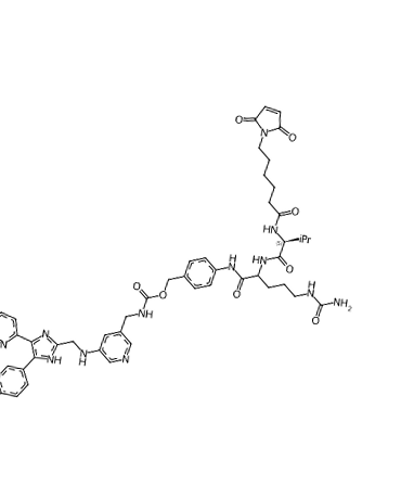 Cc1cccc(-c2nc(CNc3cncc(CNC(=O)OCc4ccc(NC(=O)C(CCCNC(N)=O)NC(=O)[C@@H](NC(=O)CCCCCN5C(=O)C=CC5=O)C(C)C)cc4)c3)[nH]c2-c2ccc3ncnn3c2)n1